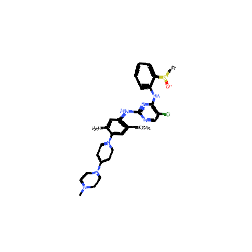 CNc1cc(Nc2ncc(Cl)c(Nc3ccccc3[S+]([O-])C(C)C)n2)c(OC)cc1N1CCC(N2CCN(C)CC2)CC1